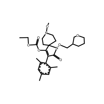 CCOC(=O)OC1=C(c2c(C)cc(C)cc2C)C(=O)N(OCC2CCCOC2)C12CCN(OC)CC2